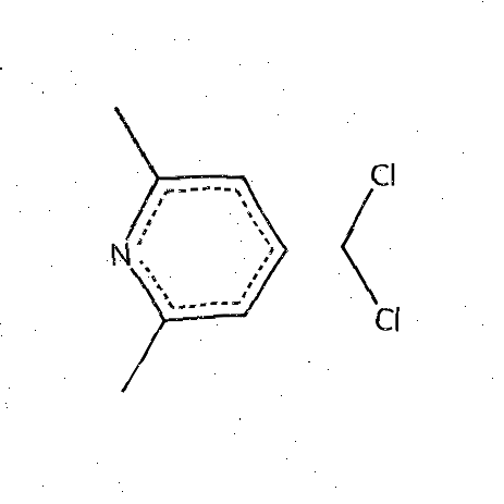 Cc1cccc(C)n1.ClCCl